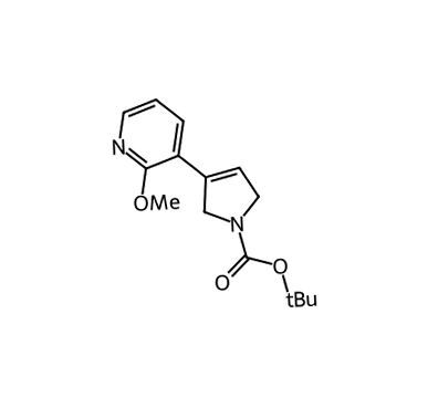 COc1ncccc1C1=CCN(C(=O)OC(C)(C)C)C1